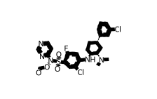 CN(C)[C@H]1C[C@@H](c2cccc(Cl)c2)CC[C@@H]1Nc1cc(F)c(S(=O)(=O)N(OC=O)c2ccncn2)cc1Cl